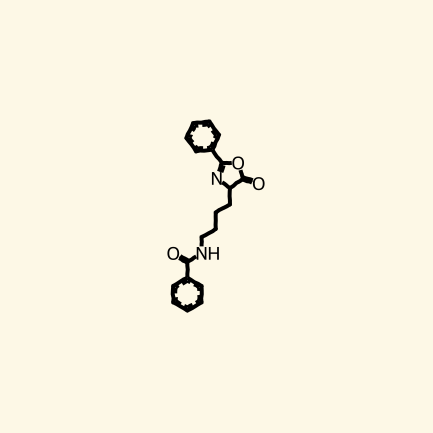 O=C(NCCCCC1N=C(c2ccccc2)OC1=O)c1ccccc1